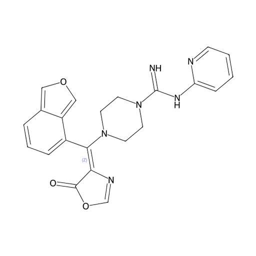 N=C(Nc1ccccn1)N1CCN(/C(=C2\N=COC2=O)c2cccc3cocc23)CC1